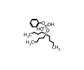 CCCC[Si](CCCC)(CCCC)[O][Ti]([OH])([OH])[O]c1ccccc1